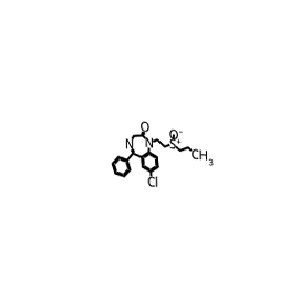 CCC[S+]([O-])CCN1C(=O)CN=C(c2ccccc2)c2cc(Cl)ccc21